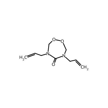 C=CCN1COOCN(CC=C)C1=O